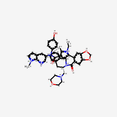 Cc1c(C(=O)N(c2ccc(O)cc2)c2cnc3c(ccn3C)c2)cc(-c2cc3c(cc2C(=O)N2Cc4ccccc4C[C@H]2CN2CCOCC2)OCO3)n1CC(F)(F)F